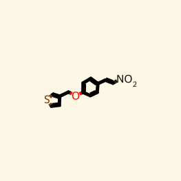 O=[N+]([O-])C=Cc1ccc(OCc2ccsc2)cc1